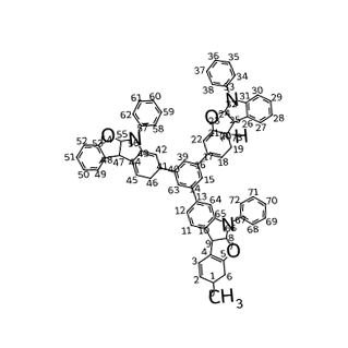 CC1C=CC2=C(C1)OC1C2c2ccc(-c3cc(C4=CC[C@H]5C(=C4)OC4C5c5ccccc5N4c4ccccc4)cc(C4C=C5C(=CC4)C4c6ccccc6OC4N5c4ccccc4)c3)cc2N1c1ccccc1